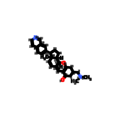 CN(C)CC1CC(=O)C2=C(C1)O[C@@H]1C(=C2)C=C[C@]2(C)[C@@H](c3ccc4ccncc4c3)CC[C@@H]12